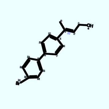 C/C(=C\CO)c1ccc(-c2ccc(Br)cc2)cc1